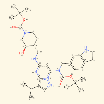 CC(C)c1cnn2c(N(Cc3ccc4c(c3)NCC4)C(=O)OC(C)(C)C)cc(NC[C@H]3CCN(C(=O)OC(C)(C)C)C[C@@H]3O)nc12